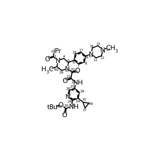 CC(C)C(=O)N1CC(c2ccc(N3CCN(C)CC3)cc2)N(C(=O)C(=O)Nc2cnc(NC(=O)OC(C)(C)C)c(C3CC3)c2)CC1C